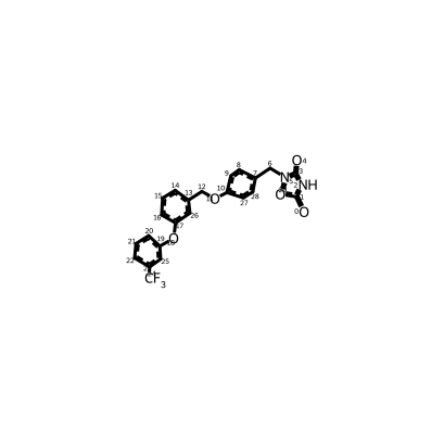 O=c1[nH]c(=O)n(Cc2ccc(OCc3cccc(Oc4cccc(C(F)(F)F)c4)c3)cc2)o1